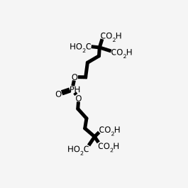 O=C(O)C(CCCO[PH](=O)OCCCC(C(=O)O)(C(=O)O)C(=O)O)(C(=O)O)C(=O)O